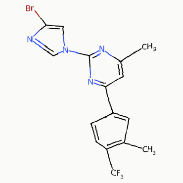 Cc1cc(-c2ccc(C(F)(F)F)c(C)c2)nc(-n2cnc(Br)c2)n1